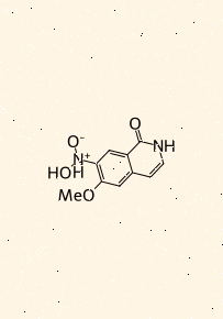 COc1cc2cc[nH]c(=O)c2cc1[NH+]([O-])O